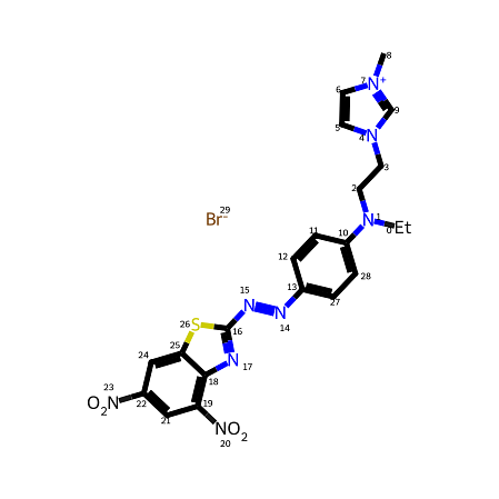 CCN(CCn1cc[n+](C)c1)c1ccc(N=Nc2nc3c([N+](=O)[O-])cc([N+](=O)[O-])cc3s2)cc1.[Br-]